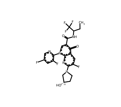 CCC(NC(=O)c1cn(-c2ncc(F)cc2F)c2nc(N3CC[C@H](O)C3)c(F)cc2c1=O)C(F)(F)F